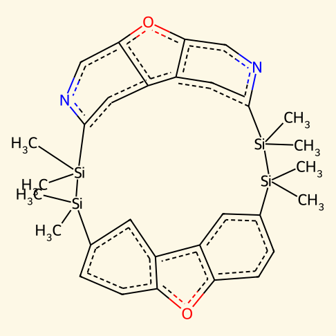 C[Si]1(C)c2ccc3oc4ccc(cc4c3c2)[Si](C)(C)[Si](C)(C)c2cc3c(cn2)oc2cnc(cc23)[Si]1(C)C